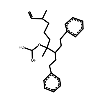 C=CC(C)CCCC(C)(OC(O)O)C(CCc1ccccc1)CCc1ccccc1